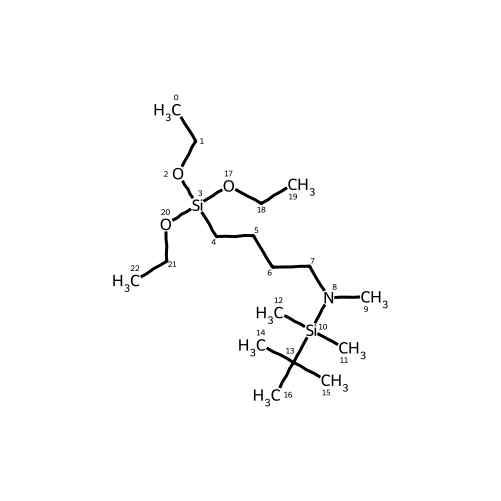 CCO[Si](CCCCN(C)[Si](C)(C)C(C)(C)C)(OCC)OCC